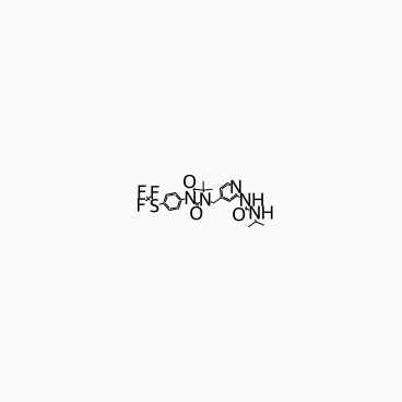 CC(C)NC(=O)Nc1cc(CN2C(=O)N(c3ccc(SC(F)(F)F)cc3)C(=O)C2(C)C)ccn1